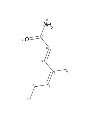 CCC=C(C)C=CC(N)=O